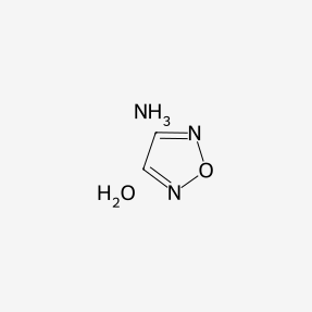 N.O.c1cnon1